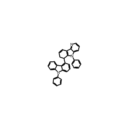 C1=Cc2c(n(-c3ccccc3)c3cccnc23)C(c2cccc3c2c2ccccc2n3-c2ccccc2)C1